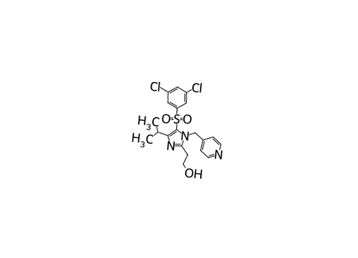 CC(C)c1nc(CCO)n(Cc2ccncc2)c1S(=O)(=O)c1cc(Cl)cc(Cl)c1